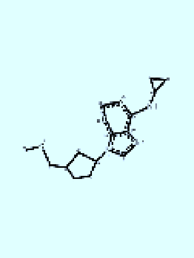 CO[CH]C1CCC(n2cnc3c(NC4CC4)ncnc32)C1